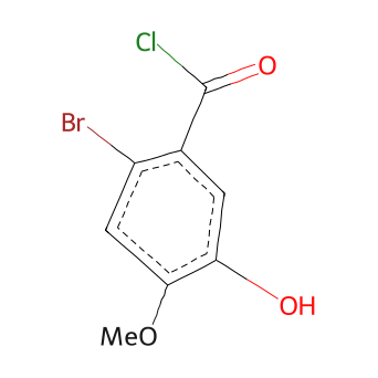 COc1cc(Br)c(C(=O)Cl)cc1O